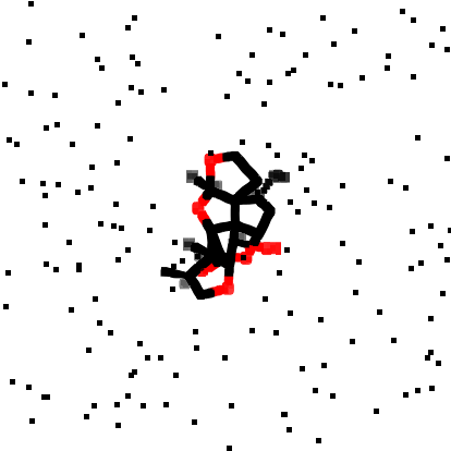 C[C@@H]1COC2[C@H]1C13O[C@@H]4OCCC45[C@H](C(C)(C)C)CC(OC1=O)C35[C@H]2O